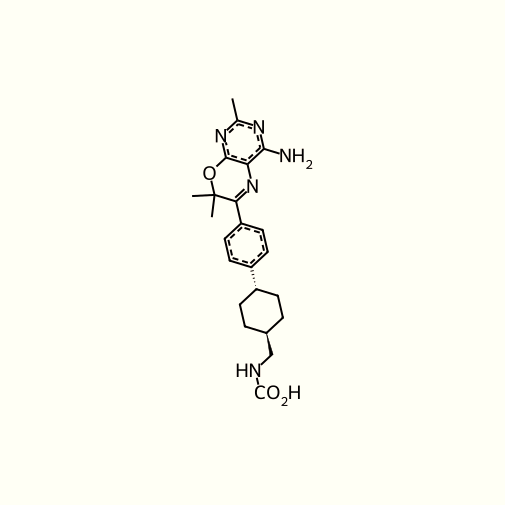 Cc1nc(N)c2c(n1)OC(C)(C)C(c1ccc([C@H]3CC[C@H](CNC(=O)O)CC3)cc1)=N2